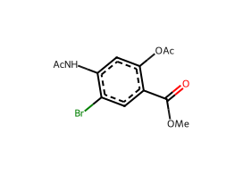 COC(=O)c1cc(Br)c(NC(C)=O)cc1OC(C)=O